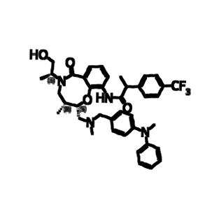 CC(C(=O)Nc1cccc2c1O[C@H](CN(C)Cc1ccc(N(C)c3ccccc3)cc1)[C@H](C)CN([C@@H](C)CO)C2=O)c1ccc(C(F)(F)F)cc1